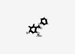 CCCCOc1cc(Br)c(C)c(C)c1C(=O)Oc1ccccc1